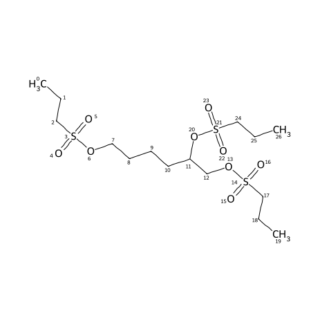 CCCS(=O)(=O)OCCCCC(COS(=O)(=O)CCC)OS(=O)(=O)CCC